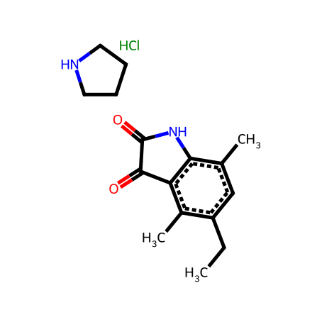 C1CCNC1.CCc1cc(C)c2c(c1C)C(=O)C(=O)N2.Cl